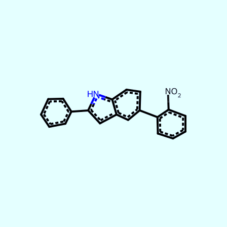 O=[N+]([O-])c1ccccc1-c1ccc2[nH]c(-c3ccccc3)cc2c1